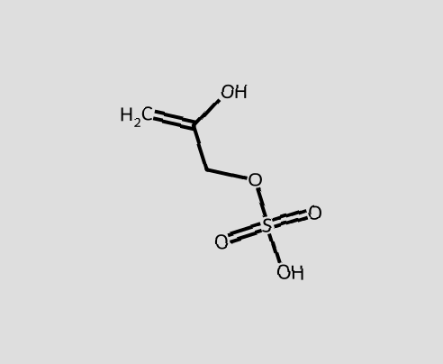 C=C(O)COS(=O)(=O)O